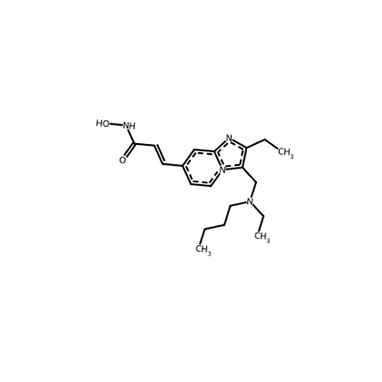 CCCCN(CC)Cc1c(CC)nc2cc(C=CC(=O)NO)ccn12